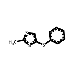 Cc1nc(Sc2c[c]ccc2)cs1